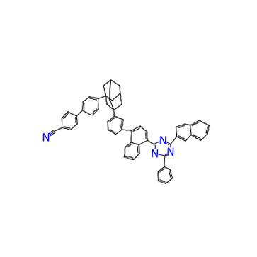 N#Cc1ccc(-c2ccc(C34CC5CC(C3)CC(c3cccc(-c6ccc(-c7nc(-c8ccccc8)nc(-c8ccc9ccccc9c8)n7)c7ccccc67)c3)(C5)C4)cc2)cc1